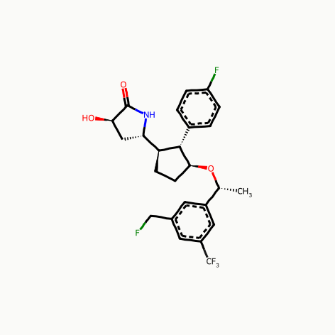 C[C@@H](O[C@H]1CC[C@@H]([C@@H]2C[C@@H](O)C(=O)N2)[C@@H]1c1ccc(F)cc1)c1cc(CF)cc(C(F)(F)F)c1